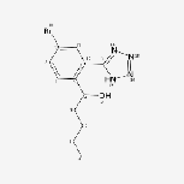 CCCCC(O)c1ccc(Br)cc1-c1nnn[nH]1